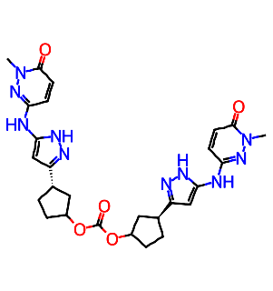 Cn1nc(Nc2cc([C@H]3CCC(OC(=O)OC4CC[C@H](c5cc(Nc6ccc(=O)n(C)n6)[nH]n5)C4)C3)n[nH]2)ccc1=O